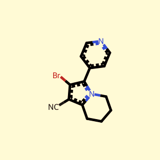 N#Cc1c(Br)c(-c2ccncc2)n2c1CCCC2